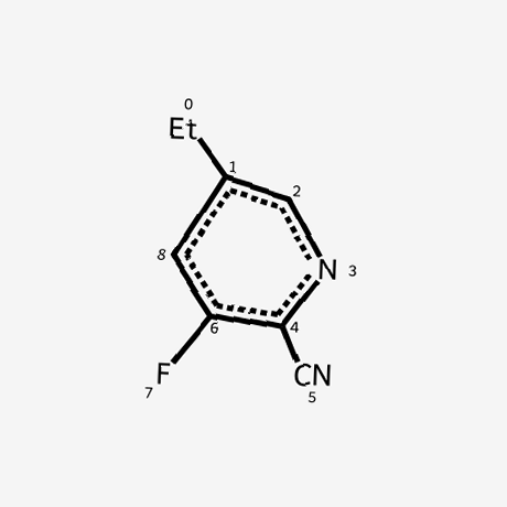 CCc1cnc(C#N)c(F)c1